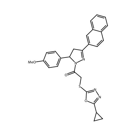 COc1ccc(C2CC(c3ccc4ccccc4c3)=NN2C(=O)CSc2nnc(C3CC3)o2)cc1